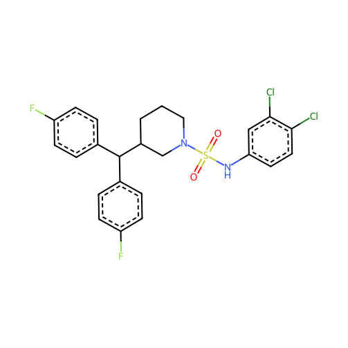 O=S(=O)(Nc1ccc(Cl)c(Cl)c1)N1CCCC(C(c2ccc(F)cc2)c2ccc(F)cc2)C1